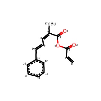 C=CC(=O)OC(=O)C(=CC=Cc1ccccc1)CCCC